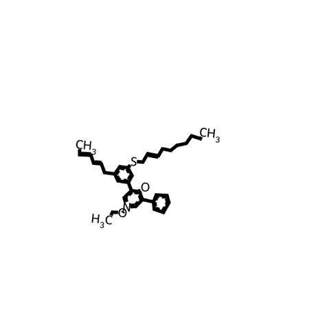 CC=CC=CCc1cc(SCC=CCCCCCCC)cc(-c2cn(OCC)cc(-c3ccccc3)c2=O)c1